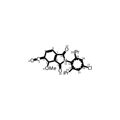 COC1C(=C=O)C=CC2=C1C(=O)N(c1c(C(C)C)cc(Cl)cc1C(C)C)C2=O